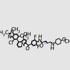 COC1CCC(NC/C=C/C(=O)Nc2c(F)cc(C(=O)c3cc(CO)c4c(-c5c(C)cc6c(nc(C)n6C)c5Cl)cccn34)cc2F)CC1